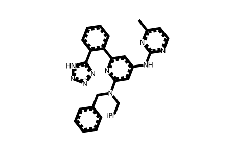 Cc1ccnc(Nc2cc(-c3ccccc3-c3nnn[nH]3)nc(N(Cc3ccccc3)CC(C)C)c2)n1